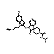 CC(C)NC(=O)N1CCC2(CC1)C(=O)N(Cc1cc3cc(Cl)ccc3n1CCCC#N)c1cnccc12